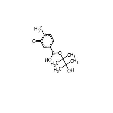 Cn1ccc(B(O)OC(C)(C)C(C)(C)O)cc1=O